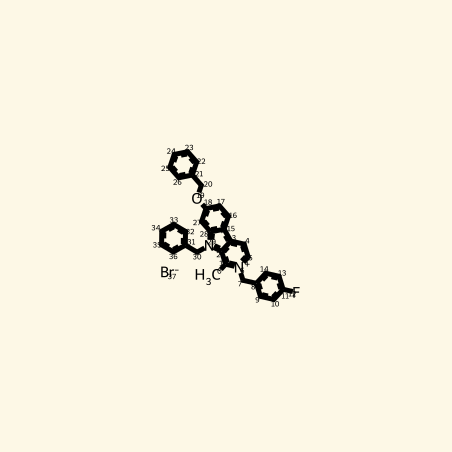 Cc1c2c(cc[n+]1Cc1ccc(F)cc1)c1ccc(OCc3ccccc3)cc1n2Cc1ccccc1.[Br-]